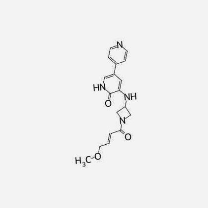 COCC=CC(=O)N1CC(Nc2cc(-c3ccncc3)c[nH]c2=O)C1